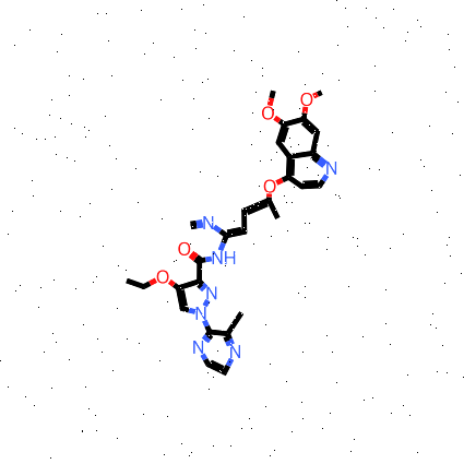 C=N/C(=C\C=C(/C)Oc1ccnc2cc(OC)c(OC)cc12)NC(=O)c1nn(-c2nccnc2C)cc1OCC